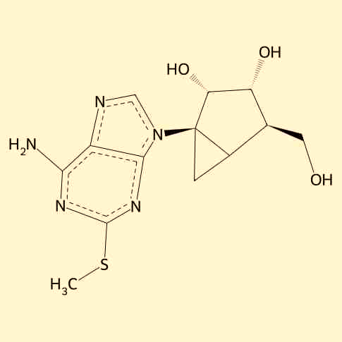 CSc1nc(N)c2ncn([C@]34CC3[C@H](CO)[C@@H](O)[C@H]4O)c2n1